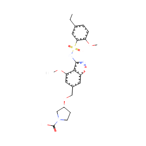 CCc1ccc(OC)c(S(=O)(=O)Nc2noc3cc(CO[C@H]4CCN(C(=O)O)C4)cc(OC)c23)c1